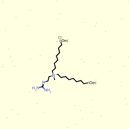 CCCCCCCCCCCCCCCCCC[N+](C)(CCCCCCCCCCCCCCCCCC)CCN=C(N)N.[Cl-]